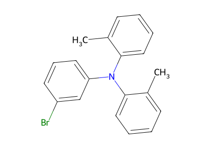 Cc1ccccc1N(c1cccc(Br)c1)c1ccccc1C